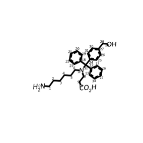 NCCCCCCN(CCC(=O)O)C(c1ccccc1)(c1ccccc1)c1ccc(CO)cc1